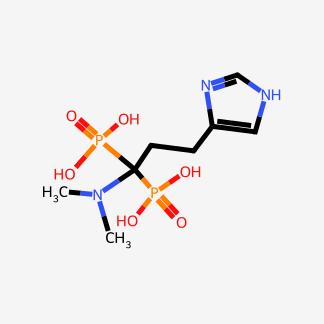 CN(C)C(CCc1c[nH]cn1)(P(=O)(O)O)P(=O)(O)O